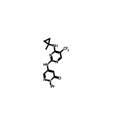 CC(C)n1ncc(Nc2ncc(C(F)(F)F)c(NC3(C)CC3)n2)cc1=O